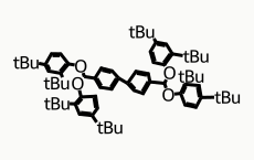 CC(C)(C)c1ccc(OC(Oc2ccc(C(C)(C)C)cc2C(C)(C)C)c2ccc(-c3ccc(C(Oc4ccc(C(C)(C)C)cc4C(C)(C)C)Oc4ccc(C(C)(C)C)cc4C(C)(C)C)cc3)cc2)c(C(C)(C)C)c1